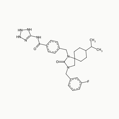 CC(C)C1CCC2(CC1)CN(Cc1cccc(F)c1)C(=O)N2Cc1ccc(C(=O)NC2=NNNN2)cc1